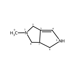 CN1CC2=CNCC2C1